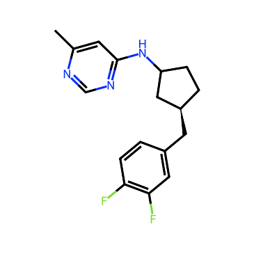 Cc1cc(NC2CC[C@@H](Cc3ccc(F)c(F)c3)C2)ncn1